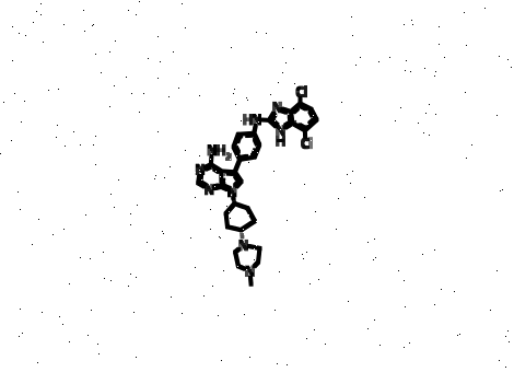 CN1CCN([C@H]2CC[C@H](n3cc(-c4ccc(Nc5nc6c(Cl)ccc(Cl)c6[nH]5)cc4)c4c(N)ncnc43)CC2)CC1